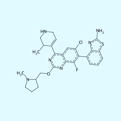 CC1CNCC=C1c1nc(OCC2CCCN2C)nc2c(F)c(-c3cccc4sc(N)nc34)c(Cl)cc12